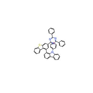 c1ccc(-c2nc(-c3ccccc3)nc(-c3cc(-c4cccc5c6ccccc6n(-c6ccccc6)c45)c4c(c3)sc3ccccc34)n2)cc1